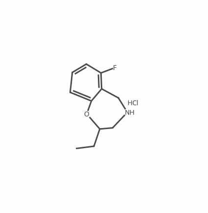 CCC1CNCc2c(F)cccc2O1.Cl